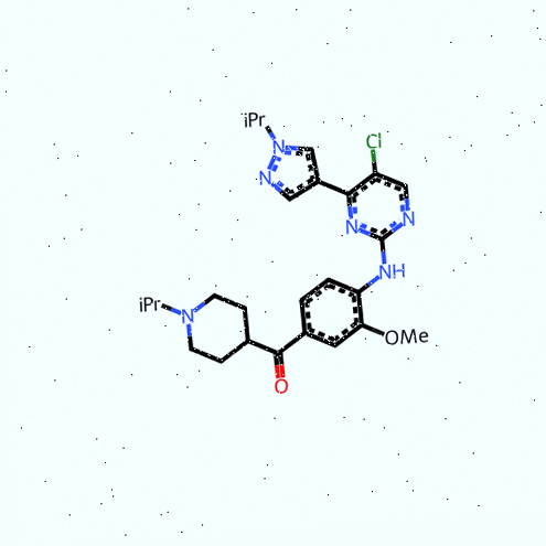 COc1cc(C(=O)C2CCN(C(C)C)CC2)ccc1Nc1ncc(Cl)c(-c2cnn(C(C)C)c2)n1